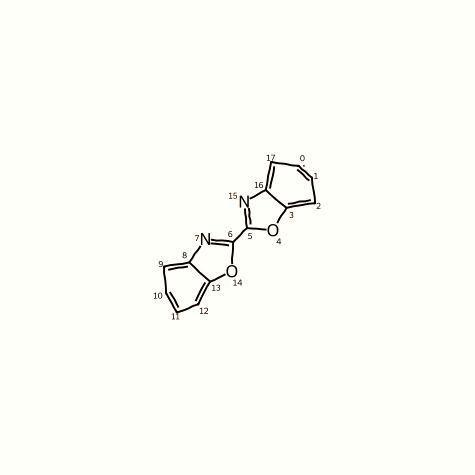 [c]1ccc2oc(-c3nc4ccccc4o3)nc2c1